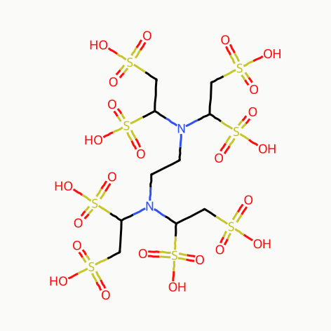 O=S(=O)(O)CC(N(CCN(C(CS(=O)(=O)O)S(=O)(=O)O)C(CS(=O)(=O)O)S(=O)(=O)O)C(CS(=O)(=O)O)S(=O)(=O)O)S(=O)(=O)O